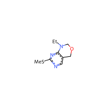 CCN1COCc2cnc(SC)nc21